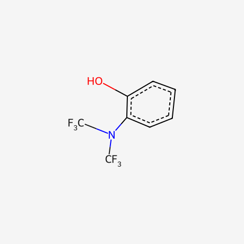 Oc1ccccc1N(C(F)(F)F)C(F)(F)F